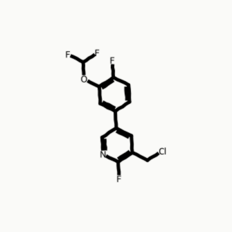 Fc1ccc(-c2cnc(F)c(CCl)c2)cc1OC(F)F